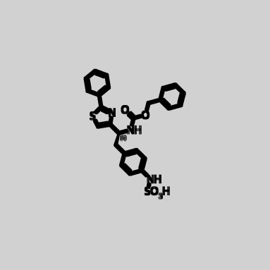 O=C(N[C@@H](Cc1ccc(NS(=O)(=O)O)cc1)c1csc(-c2ccccc2)n1)OCc1ccccc1